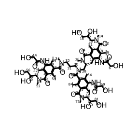 Cc1c(NC(=O)CO)c(I)c(C(=O)N(C)CC(O)CO)c(I)c1C(=O)N(C)CCN(CCCN(C)C(=O)c1c(I)c(NC(=O)CO)c(I)c(C(=O)N(C)CC(O)CO)c1I)C(=O)c1c(C)c(NC(=O)CO)c(I)c(C(=O)N(C)CC(O)CO)c1I